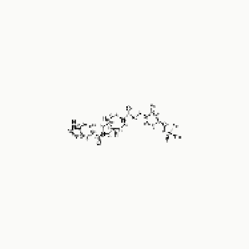 O=C(OCc1ccc(OCC(F)(F)F)cc1F)N1CC[C@@H]2CN(C(=O)c3ccc4[nH]nnc4c3)C[C@@H]2CC1